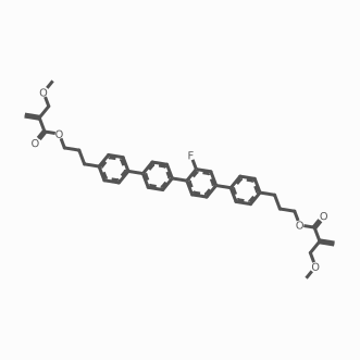 C=C(COC)C(=O)OCCCc1ccc(-c2ccc(-c3ccc(-c4ccc(CCCOC(=O)C(=C)COC)cc4)cc3F)cc2)cc1